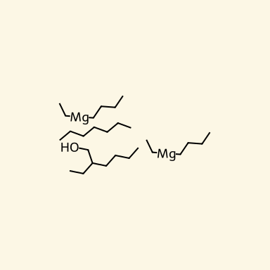 CCCCC(CC)CO.CCCCCCC.CCC[CH2][Mg][CH2]C.CCC[CH2][Mg][CH2]C